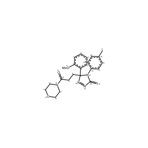 COc1ccccc1C1(CCC(=O)N2CCOCC2)N=NC(=S)N1c1ccc(C)cc1